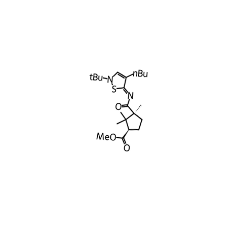 CCCCc1cn(C(C)(C)C)s/c1=N\C(=O)[C@@]1(C)CC[C@@H](C(=O)OC)C1(C)C